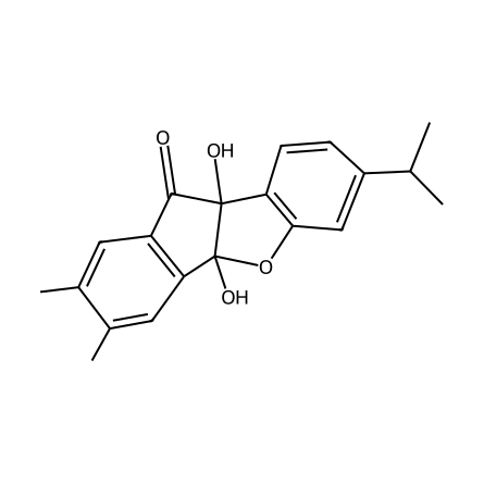 Cc1cc2c(cc1C)C1(O)Oc3cc(C(C)C)ccc3C1(O)C2=O